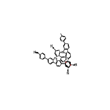 Cc1ccc(-c2ccc3c4ccc(-c5ccc(C#N)cc5)cc4n(-c4cc(C#N)cc(-n5c6cc(-c7ccc(C#N)cc7)ccc6c6ccc(-c7ccc(C#N)cc7)cc65)c4-c4ccncc4)c3c2)cc1